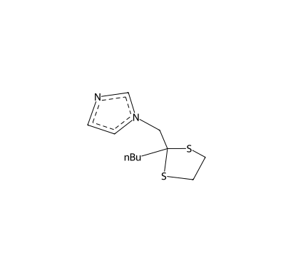 CCCCC1(Cn2ccnc2)SCCS1